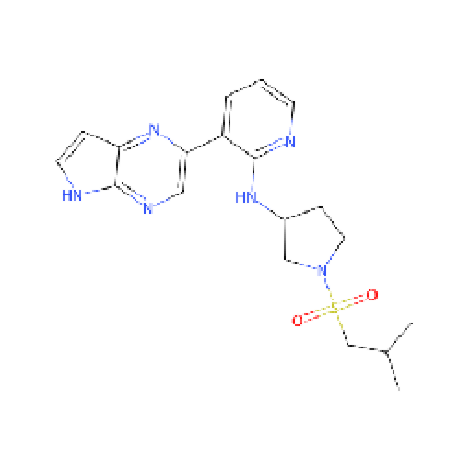 CC(C)CS(=O)(=O)N1CCC(Nc2ncccc2-c2cnc3[nH]ccc3n2)C1